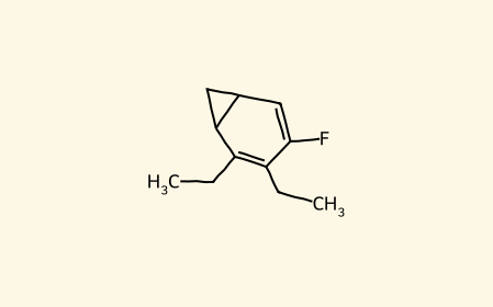 CCC1=C(CC)C2CC2C=C1F